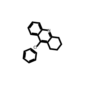 Clc1c2c(nc3ccccc13)CCCC2.c1ccccc1